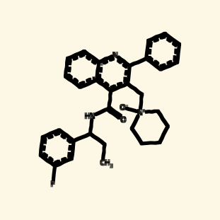 CCC(NC(=O)c1c(C[N+]2([O-])CCCCC2)c(-c2ccccc2)nc2ccccc12)c1cccc(F)c1